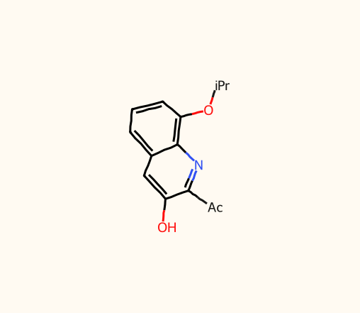 CC(=O)c1nc2c(OC(C)C)cccc2cc1O